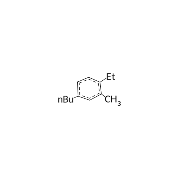 CCCCc1ccc(CC)c(C)c1